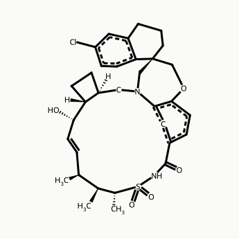 C[C@@H]1[C@@H](C)S(=O)(=O)NC(=O)c2ccc3c(c2)N(C[C@@H]2CC[C@H]2[C@@H](O)/C=C/[C@@H]1C)C[C@@]1(CCCc2cc(Cl)ccc21)CO3